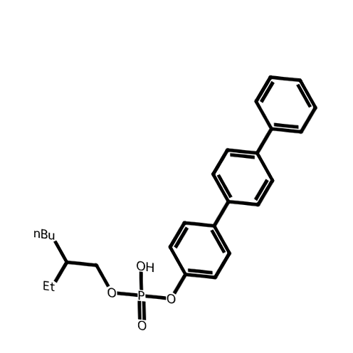 CCCCC(CC)COP(=O)(O)Oc1ccc(-c2ccc(-c3ccccc3)cc2)cc1